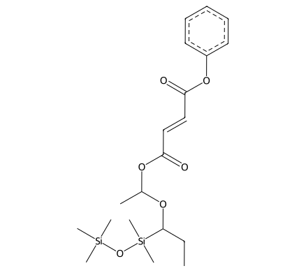 CCC(OC(C)OC(=O)/C=C/C(=O)Oc1ccccc1)[Si](C)(C)O[Si](C)(C)C